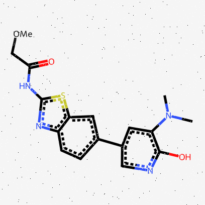 COCC(=O)Nc1nc2ccc(-c3cnc(O)c(N(C)C)c3)cc2s1